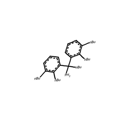 CCCCc1cccc(C(P)(CCCC)c2cccc(CCCC)c2CCCC)c1CCCC